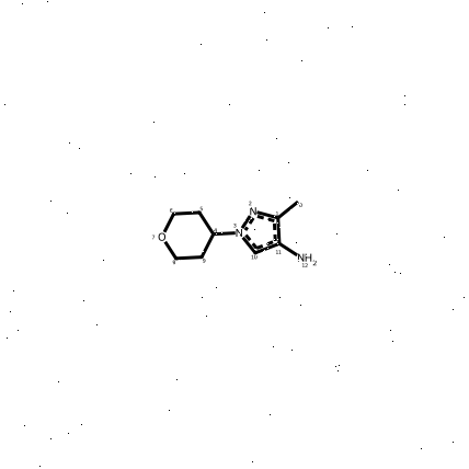 Cc1nn(C2CCOCC2)cc1N